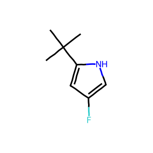 CC(C)(C)c1cc(F)c[nH]1